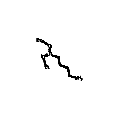 CC[O][Ti]([CH2]CCCN)[O]CC